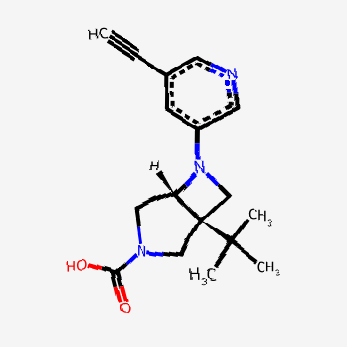 C#Cc1cncc(N2C[C@]3(C(C)(C)C)CN(C(=O)O)C[C@H]23)c1